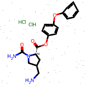 Cl.Cl.NCC1C[C@@H](C(=O)Oc2ccc(Oc3ccccc3)cc2)N(C(N)=O)C1